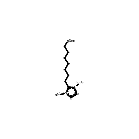 CCCCCCCCCCCCCCCCCc1n(CCC)cc[n+]1CCC